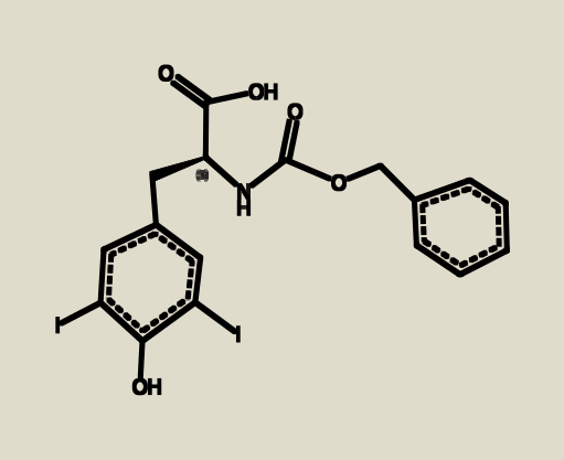 O=C(N[C@@H](Cc1cc(I)c(O)c(I)c1)C(=O)O)OCc1ccccc1